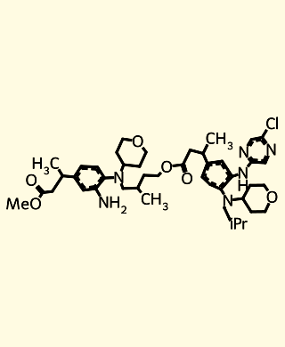 COC(=O)CC(C)c1ccc(N(CC(C)CCOC(=O)CC(C)c2ccc(N(CC(C)C)C3CCOCC3)c(Nc3cnc(Cl)cn3)c2)C2CCOCC2)c(N)c1